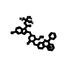 CC(C)(C)OC(=O)n1c(CN2CC(=O)N(Cc3ccc(C#N)c(N=C(c4ccccc4)c4ccccc4)c3)C(CO)C2)cc2cc(Cl)ccc21